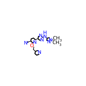 CC(C)n1cc(Nc2ncc(-c3ccc(C#N)c(OCCc4cccnc4)n3)cn2)cn1